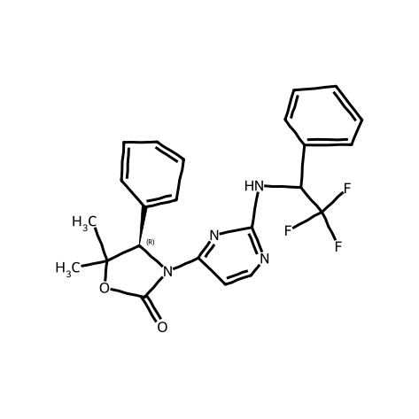 CC1(C)OC(=O)N(c2ccnc(NC(c3ccccc3)C(F)(F)F)n2)[C@@H]1c1ccccc1